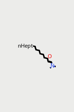 CCCCCCCCCCCCCC(=O)C=CN(C)C